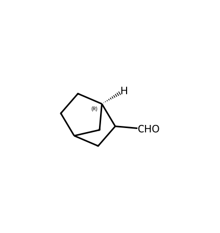 O=CC1CC2CC[C@@H]1C2